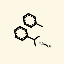 CC(C)c1ccccc1.Cc1ccccc1.OO